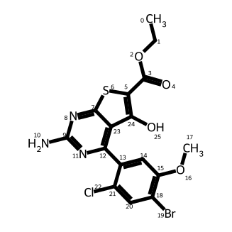 CCOC(=O)c1sc2nc(N)nc(-c3cc(OC)c(Br)cc3Cl)c2c1O